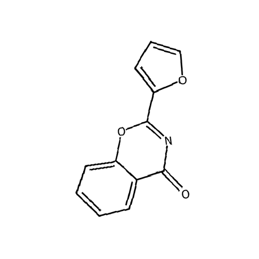 O=c1nc(-c2ccco2)oc2ccccc12